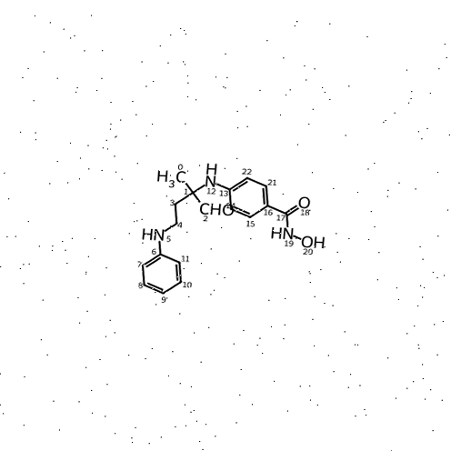 CC(C=O)(CCNc1ccccc1)Nc1ccc(C(=O)NO)cc1